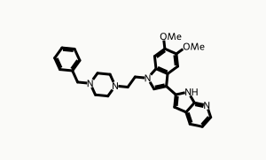 COc1cc2c(-c3cc4cccnc4[nH]3)cn(CCN3CCN(Cc4ccccc4)CC3)c2cc1OC